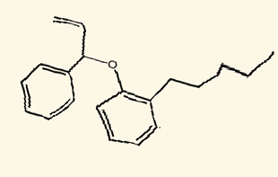 C=CC(Oc1ccc[c]c1CCCCC)c1ccccc1